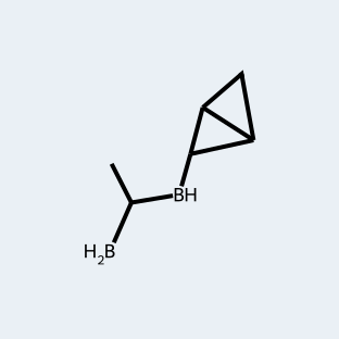 BC(C)BC1C2CC12